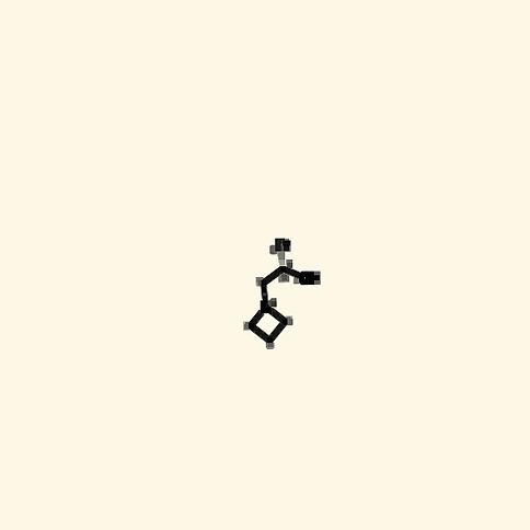 CC[C@H](O)CN1CCC1